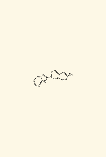 Nc1ccc2cc(-c3nc4ccccc4o3)ccc2c1